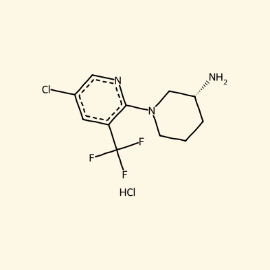 Cl.N[C@@H]1CCCN(c2ncc(Cl)cc2C(F)(F)F)C1